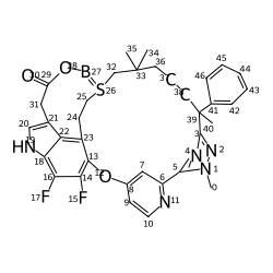 Cn1nc2nc1-c1cc(ccn1)Oc1c(F)c(F)c3[nH]cc4c3c1CCS(=BOC(=O)C4)CC(C)(C)CCCC2(C)c1ccccc1